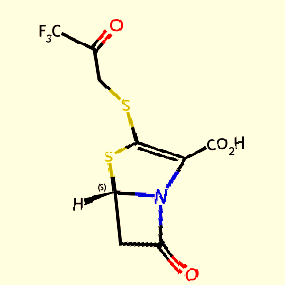 O=C(O)C1=C(SCC(=O)C(F)(F)F)S[C@H]2CC(=O)N12